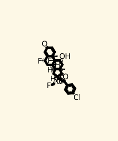 C[C@]12C=CC(=O)C=C1[C@@H](F)C[C@H]1[C@@H]3C[C@H]4OC(c5ccc(Cl)cc5)O[C@@]4(C(=O)SCF)[C@@]3(C)C[C@H](O)[C@@]12F